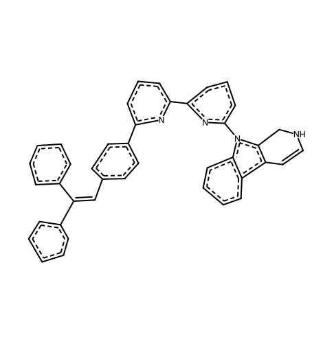 C1=Cc2c(n(-c3cccc(-c4cccc(-c5ccc(C=C(c6ccccc6)c6ccccc6)cc5)n4)n3)c3ccccc23)CN1